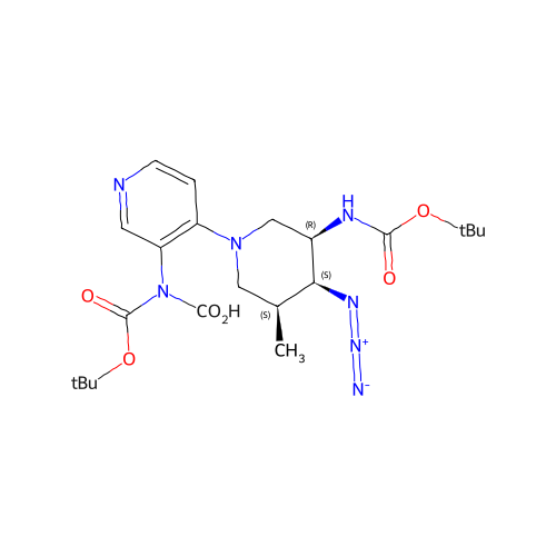 C[C@H]1CN(c2ccncc2N(C(=O)O)C(=O)OC(C)(C)C)C[C@@H](NC(=O)OC(C)(C)C)[C@H]1N=[N+]=[N-]